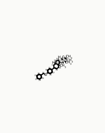 CC(C)(C)[Si](C)(C)O[C@H]1CC[C@H]2CC(c3ccc(OCc4ccccc4)cc3)=CC[C@@]21C